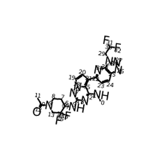 CNc1nc(N[C@@H]2CCN(C(C)=O)CC2(F)F)nn2ccc(-c3ccc4nnn(CC(F)F)c4n3)c12